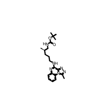 Cc1nnc2c(NCCC[C@@H](C)CNC(=O)OC(C)(C)C)nc3ccccc3n12